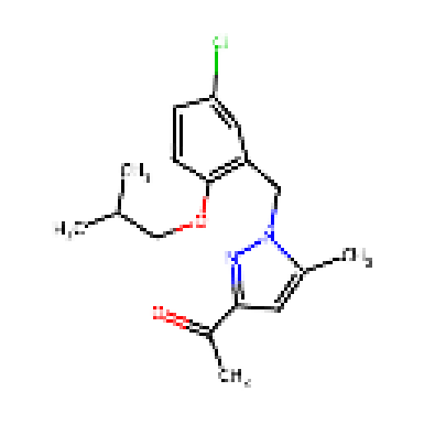 CC(=O)c1cc(C)n(Cc2cc(Cl)ccc2OCC(C)C)n1